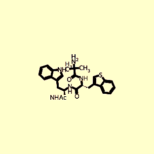 CC(=O)N[C@@H](Cc1c[nH]c2ccccc12)NC(=O)[C@@H](Cc1csc2ccccc12)NC(=O)C(C)(C)N